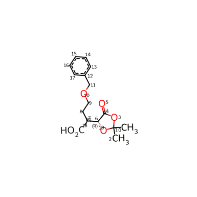 CC1(C)OC(=O)[C@@H]([C@H](CCOCc2ccccc2)C(=O)O)O1